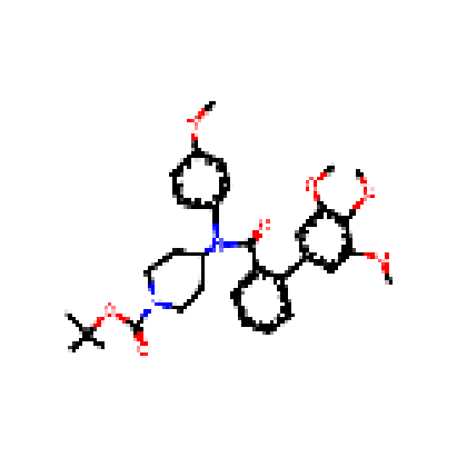 COc1ccc(N(C(=O)c2ccccc2-c2cc(OC)c(OC)c(OC)c2)C2CCN(C(=O)OC(C)(C)C)CC2)cc1